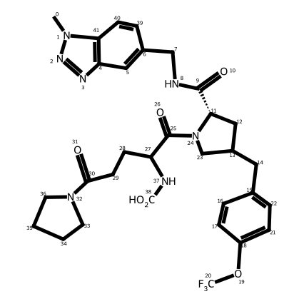 Cn1nnc2cc(CNC(=O)[C@@H]3CC(Cc4ccc(OC(F)(F)F)cc4)CN3C(=O)C(CCC(=O)N3CCCC3)NC(=O)O)ccc21